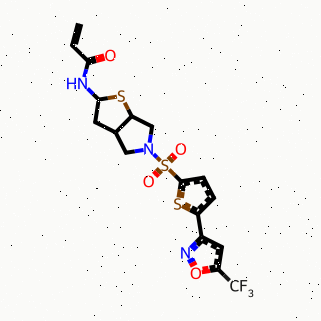 C=CC(=O)NC1CC2CN(S(=O)(=O)c3ccc(-c4cc(C(F)(F)F)on4)s3)CC2S1